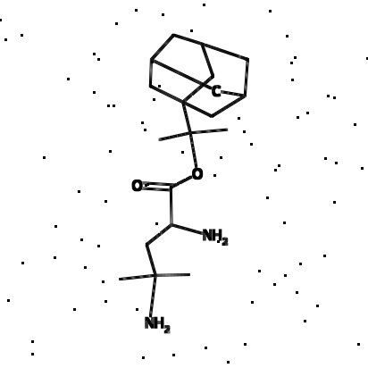 CC(C)(N)CC(N)C(=O)OC(C)(C)C12CC3CC(CC(C3)C1)C2